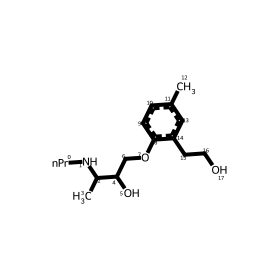 CCCNC(C)C(O)COc1ccc(C)cc1CCO